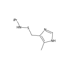 Cc1[nH]cnc1CSNC(C)C